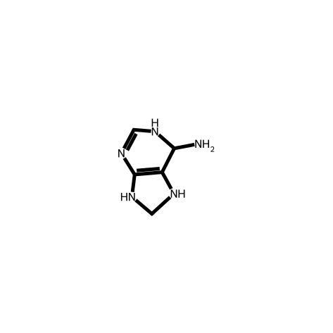 NC1NC=NC2=C1NCN2